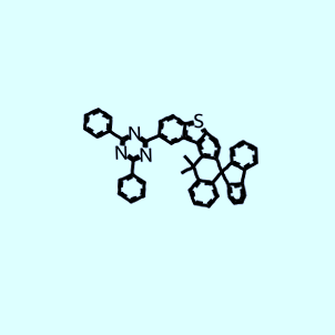 CC1(C)c2ccccc2C2(c3ccccc3-c3ccccc32)c2ccc3sc4ccc(-c5nc(-c6ccccc6)nc(-c6ccccc6)n5)cc4c3c21